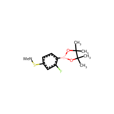 CNSc1ccc(B2OC(C)(C)C(C)(C)O2)c(F)c1